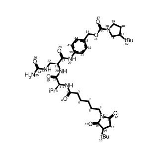 CC(C)[C@H](NC(=O)CCCCCN1C(=O)CC(C(C)(C)C)C1=O)C(=O)N[C@@H](CNC(N)=O)C(=O)Nc1ccc(COC(=O)N2CCC(C(C)(C)C)C2)cc1